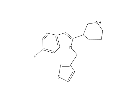 Fc1ccc2cc(C3CCCNC3)n(Cc3ccsc3)c2c1